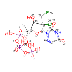 CC(C)(OP(=O)(O)OP(=O)(O)OP(=O)(O)O)[C@H]1O[C@@H](n2ncc(=O)[nH]c2=O)[C@@](Cl)(CF)C1O